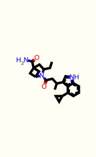 CCC1CC2(C(N)=O)CC(C2)N1C(=O)CC(C)c1c[nH]c2cccc(C3CC3)c12